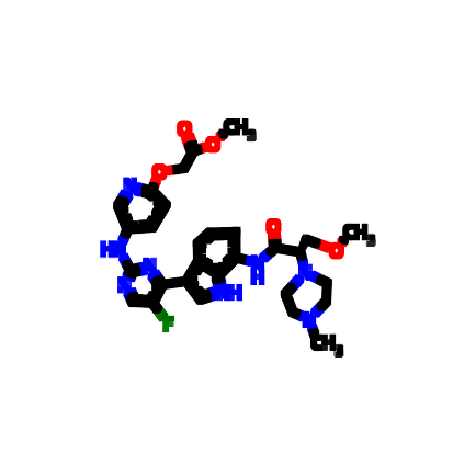 COC[C@H](C(=O)Nc1cccc2c(-c3nc(Nc4ccc(OCC(=O)OC)nc4)ncc3F)c[nH]c12)N1CCN(C)CC1